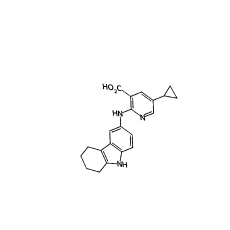 O=C(O)c1cc(C2CC2)cnc1Nc1ccc2[nH]c3c(c2c1)CCCC3